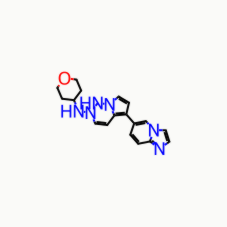 C1=CN(NC2CCOCC2)Nn2ccc(-c3ccc4nccn4c3)c21